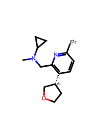 CC(C)c1ccc([C@@H]2CCOC2)c(CN(C)C2CC2)n1